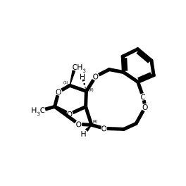 C[C@@H]1OC2(C)OC3[C@H](OCCOCc4ccccc4CO[C@@H]31)O2